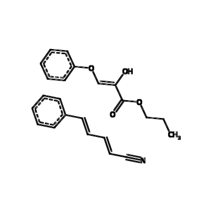 CCCOC(=O)C(O)=COc1ccccc1.N#CC=CC=Cc1ccccc1